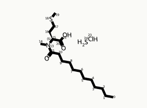 CCCCCCCCCCCC(=O)N(C)[C@@H](CCSC)C(=O)O.Cl.S